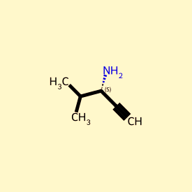 C#C[C@@H](N)C(C)C